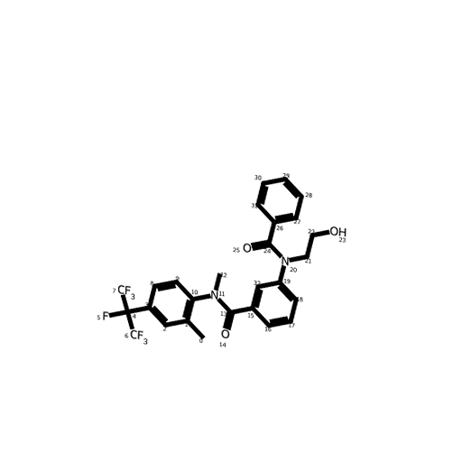 Cc1cc(C(F)(C(F)(F)F)C(F)(F)F)ccc1N(C)C(=O)c1cccc(N(CCO)C(=O)c2ccccc2)c1